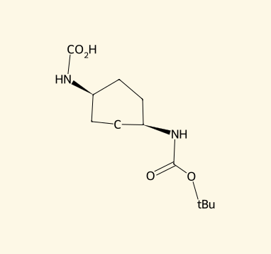 CC(C)(C)OC(=O)N[C@H]1CC[C@@H](NC(=O)O)CC1